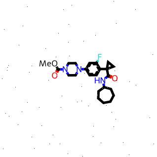 COC(=O)N1CCN(c2ccc(C3(C(=O)NC4CCCCCC4)CC3)c(F)c2)CC1